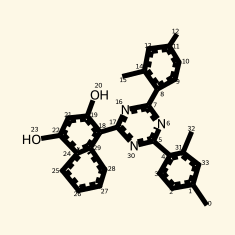 Cc1ccc(-c2nc(-c3ccc(C)cc3C)nc(-c3c(O)cc(O)c4ccccc34)n2)c(C)c1